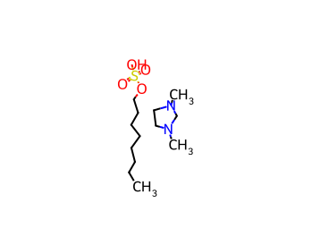 CCCCCCCCOS(=O)(=O)O.CN1CCN(C)C1